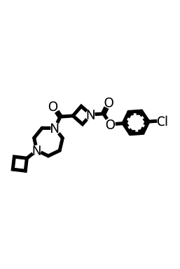 O=C(Oc1ccc(Cl)cc1)N1CC(C(=O)N2CCCN(C3CCC3)CC2)C1